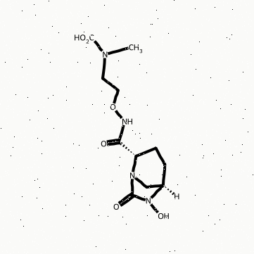 CN(CCONC(=O)[C@@H]1CC[C@@H]2CN1C(=O)N2O)C(=O)O